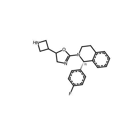 Fc1ccc([C@H]2c3ccccc3CCN2C2=NCC(C3CNC3)O2)cc1